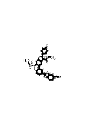 CCS(=O)(=O)Nc1cc2oc(-c3ccc(F)cc3)c(C(=O)NC)c2cc1-c1cccc(-c2nc3ccc(C#N)cc3s2)c1